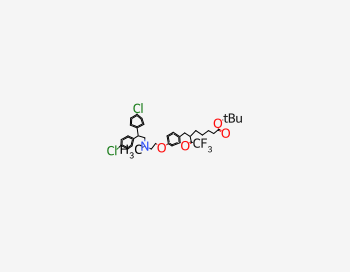 CN(CCOc1ccc(CC(CCCCC(=O)OC(C)(C)C)C(=O)C(F)(F)F)cc1)CC(c1ccc(Cl)cc1)c1ccc(Cl)cc1